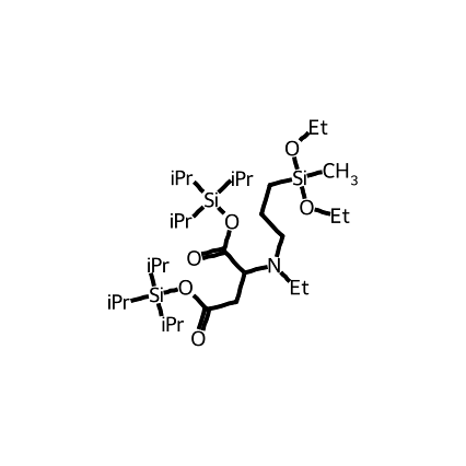 CCO[Si](C)(CCCN(CC)C(CC(=O)O[Si](C(C)C)(C(C)C)C(C)C)C(=O)O[Si](C(C)C)(C(C)C)C(C)C)OCC